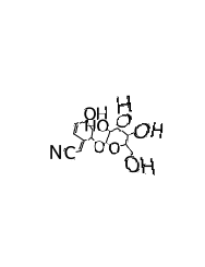 N#CC=C1C=CC(O)CC1OC1OC(CO)C(O)C(O)C1O